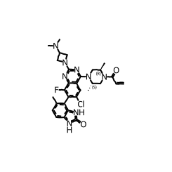 C=CC(=O)N1C[C@H](C)N(c2nc(N3CC(N(C)C)C3)nc3c(F)c(-c4c(C)ccc5[nH]c(=O)[nH]c45)c(Cl)cc23)C[C@H]1C